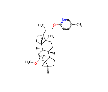 COC1C[C@H]2[C@@H]3CC[C@H]([C@H](C)COc4ccc(C)cn4)[C@@]3(C)CC[C@@H]2[C@@]2(C)CC[C@@H]3CC132